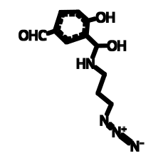 [N-]=[N+]=NCCCNC(O)c1cc(C=O)ccc1O